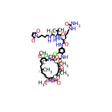 COc1cc2cc(c1Cl)N(C)C(=O)C[C@H](OC(=O)Nc1ccc(NC(=O)[C@H](CCCCNC(N)=O)NC(=O)[C@@H](NC(=S)NCCCCN3C(=O)C=CC3=O)C(C)C)cc1Cl)[C@]1(C)O[C@H]1[C@H](C)[C@@H]1C[C@@](O)(NC(=O)O1)[C@H](OC)/C=C/C=C(\C)C2